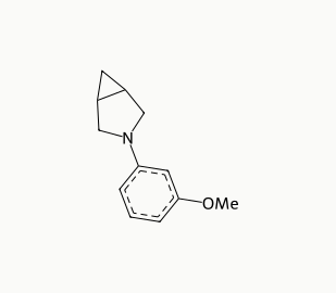 COc1cccc(N2CC3CC3C2)c1